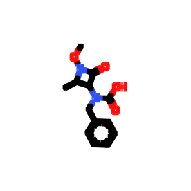 CON1C(=O)C(N(Cc2ccccc2)C(=O)O)C1C